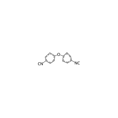 [C-]#[N+]c1ccc(Oc2ccc([N+]#[C-])cc2)cc1